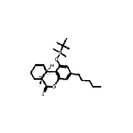 CCCCCc1cc2c(c(O[Si](C)(C)C(C)(C)C)c1)[C@@H]1CCCC[C@H]1C(=S)O2